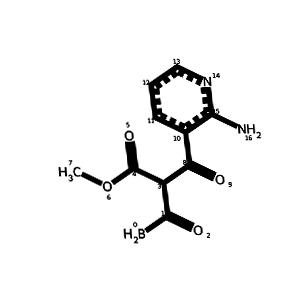 BC(=O)C(C(=O)OC)C(=O)c1cccnc1N